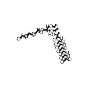 CCO.CCO.CCO.CCO.ClCCl.ClCCl.ClCCl.ClCCl.ClCCl.ClCCl.ClCCl.ClCCl.ClCCl.ClCCl